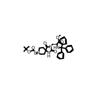 COC(=O)[C@H](CN1C(=O)NC2(CCN(OC(=O)OC(C)(C)C)CC2)C1=O)NC(c1ccccc1)(c1ccccc1)c1ccccc1